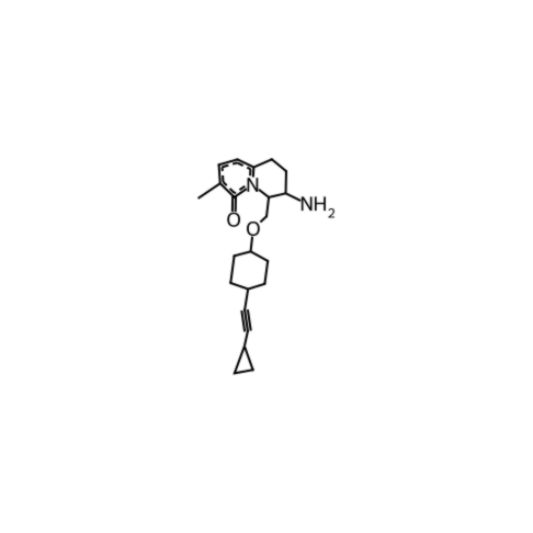 Cc1ccc2n(c1=O)C(COC1CCC(C#CC3CC3)CC1)C(N)CC2